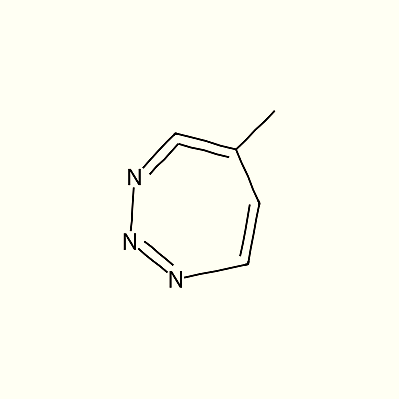 CC1=C=NN=NC=C1